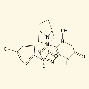 CC[C@@H](C(=O)N1CC2CCC(C1)N2c1ncnc2c1N(C)CC(=O)N2)c1ccc(Cl)cc1